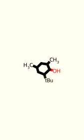 CC1CC(C)C(O)C(C(C)(C)C)C1